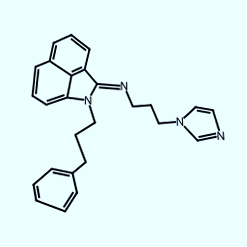 c1ccc(CCCN2C(=NCCCn3ccnc3)c3cccc4cccc2c34)cc1